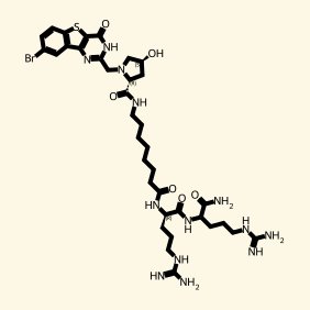 N=C(N)NCCCC(NC(=O)[C@@H](CCCNC(=N)N)NC(=O)CCCCCCCNC(=O)[C@H]1C[C@H](O)CN1Cc1nc2c(sc3ccc(Br)cc32)c(=O)[nH]1)C(N)=O